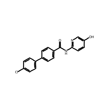 O=C(Nc1ccc(O)cn1)c1ccc(-c2ccc(Cl)cc2)cc1